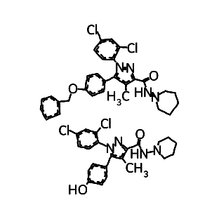 Cc1c(C(=O)NN2CCCCC2)nn(-c2ccc(Cl)cc2Cl)c1-c1ccc(O)cc1.Cc1c(C(=O)NN2CCCCC2)nn(-c2ccc(Cl)cc2Cl)c1-c1ccc(OCc2ccccc2)cc1